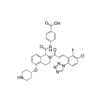 O=C(O)c1ccc(NC(=O)C2c3cccc(OC4CCNCC4)c3CCN2C(=O)C=Cc2c(-n3cnnn3)ccc(Cl)c2F)cc1